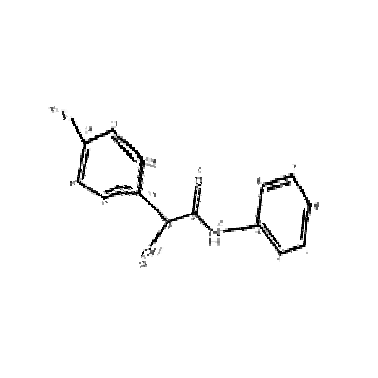 O=C(Nc1ccccc1)C(O)c1ccc(F)cc1